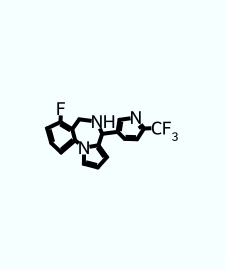 Fc1cccc2c1CNC(c1ccc(C(F)(F)F)nc1)c1cccn1-2